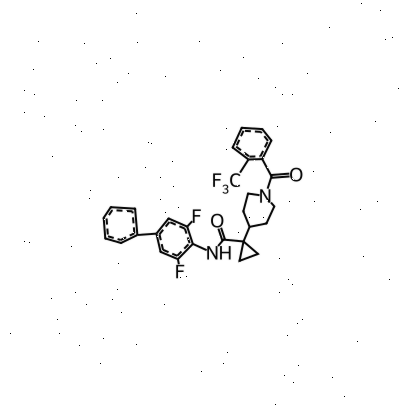 O=C(c1ccccc1C(F)(F)F)N1CCC(C2(C(=O)Nc3c(F)cc(-c4ccccc4)cc3F)CC2)CC1